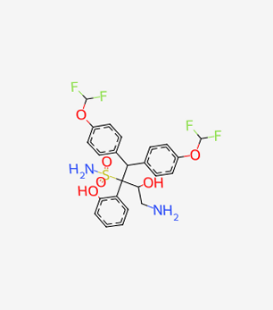 NCC(O)C(c1ccccc1O)(C(c1ccc(OC(F)F)cc1)c1ccc(OC(F)F)cc1)S(N)(=O)=O